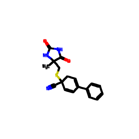 CC1(CSC2(C#N)C=CC(c3ccccc3)=CC2)NC(=O)NC1=O